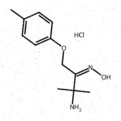 Cc1ccc(OCC(=NO)C(C)(C)N)cc1.Cl